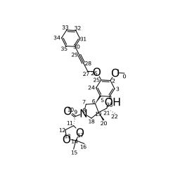 COc1ccc([C@@H]2CN(C(=O)[C@H]3COC(C)(C)O3)C[C@@]2(C)[C@@H](C)O)cc1OCC#Cc1ccccc1